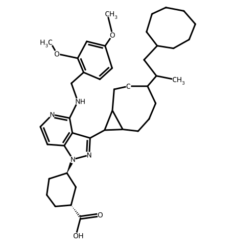 COc1ccc(CNc2nccc3c2c(C2C4CCCC(C(C)CC5CCCCCCC5)CCC42)nn3[C@@H]2CCC[C@@H](C(=O)O)C2)c(OC)c1